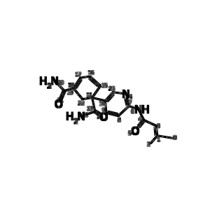 CC(C)=CC(=O)Nc1ccc(C2(C(N)=O)C=CC=C(C(N)=O)C2)cn1